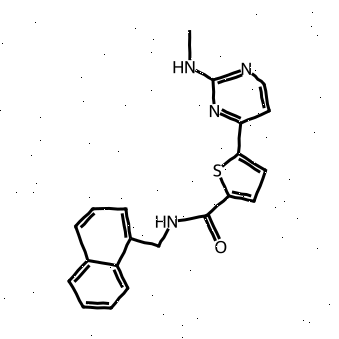 CNc1nccc(-c2ccc(C(=O)NCc3cccc4ccccc34)s2)n1